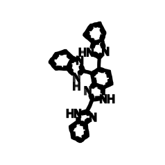 c1ccc2[nH]c(-c3nc4c(-c5nc6ccccc6[nH]5)c(-c5nc6ccccc6[nH]5)ccc4[nH]3)nc2c1